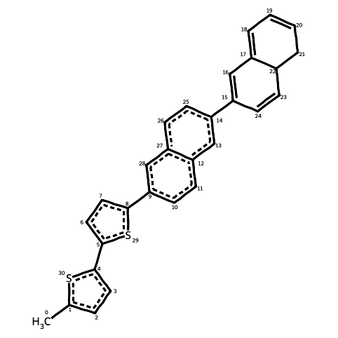 Cc1ccc(-c2ccc(-c3ccc4cc(C5=CC6=CC=CCC6C=C5)ccc4c3)s2)s1